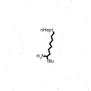 CCCCCCCCCCCCCCC(N)C(C)(C)C